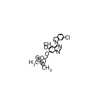 COCC(COc1cc2ncnc(N3CCc4ccc(Cl)cc43)c2cc1OC)OS(C)(=O)=O